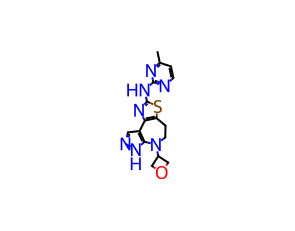 Cc1ccnc(Nc2nc3c(s2)CCN(C2COC2)c2[nH]ncc2-3)n1